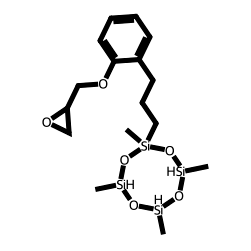 C[SiH]1O[SiH](C)O[Si](C)(CCCc2ccccc2OCC2CO2)O[SiH](C)O1